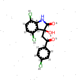 O=C(CC1(O)C(=O)Nc2c(Cl)ccc(Cl)c21)c1ccc(Cl)cc1